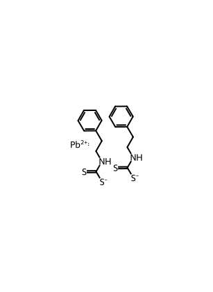 S=C([S-])NCCc1ccccc1.S=C([S-])NCCc1ccccc1.[Pb+2]